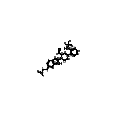 CN(C)CCc1ccc2cc(N3CCN(c4ncccc4NC(C)(C)C)CC3C=O)[nH]c2c1